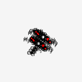 C[Si](C)(C)c1cc2c(s1)sc1sc3c(c12)-c1c(sc2sc4sc([Si](C)(C)C)cc4c12)C(=O)c1sc2sc4sc([Si](C)(C)C)cc4c2c1-c1c(sc2sc4sc([Si](C)(C)C)cc4c12)C3=O.C[Si](C)(C)c1cc2c(s1)sc1sc3c(c12)-c1c(sc2sc4sc([Si](C)(C)C)cc4c12)C(=O)c1sc2sc4sc([Si](C)(C)C)cc4c2c1-c1c(sc2sc4sc([Si](C)(C)C)cc4c12)C3=O.ClC(Cl)Cl.ClC(Cl)Cl.ClC(Cl)Cl.ClC(Cl)Cl